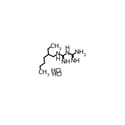 CCCCC(CC)CNC(=N)NC(=N)N.Cl.Cl